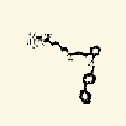 CC(C)(C)OC(=O)CCCCNCCc1ccccc1OCc1ccc(-c2ccccc2)cc1